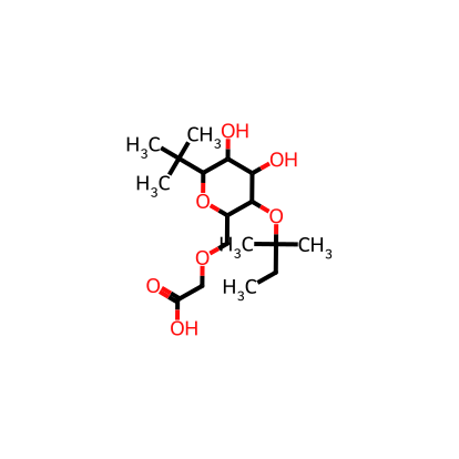 CCC(C)(C)OC1C(COCC(=O)O)OC(C(C)(C)C)C(O)C1O